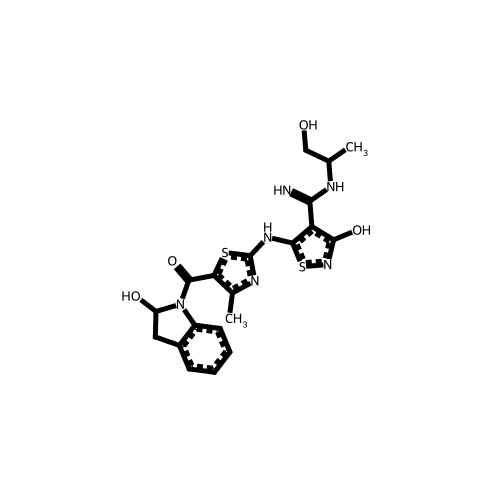 Cc1nc(Nc2snc(O)c2C(=N)NC(C)CO)sc1C(=O)N1c2ccccc2CC1O